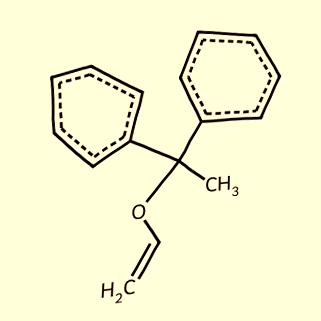 C=COC(C)(c1ccccc1)c1ccccc1